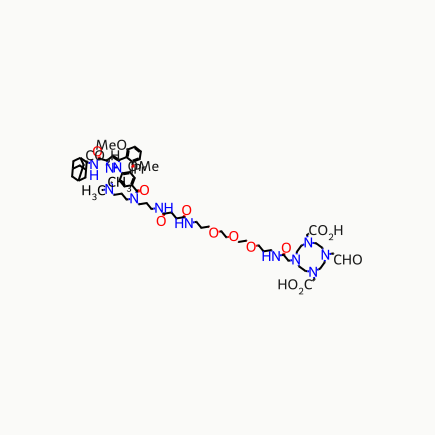 COc1cccc(OC)c1-c1cc(C(=O)NC2(C(=O)O)C3CC4CC(C3)CC2C4)nn1-c1ccc(C(=O)N(CCCNC(=O)CCC(=O)NCCCOCCOCCOCCCNC(=O)CN2CCN(CC(=O)O)CCN(CC=O)CCN(CC(=O)O)CC2)CCCN(C)C)cc1C(C)C